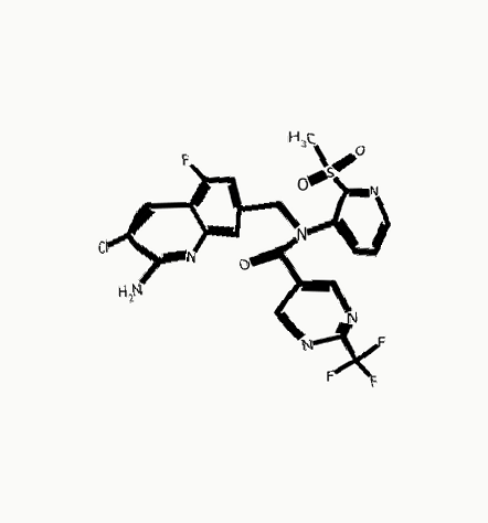 CS(=O)(=O)c1ncccc1N(Cc1cc(F)c2cc(Cl)c(N)nc2c1)C(=O)c1cnc(C(F)(F)F)nc1